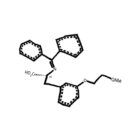 COCCOc1cccc(C[C@@H](N=C(c2ccccc2)c2ccccc2)C(=O)O)c1